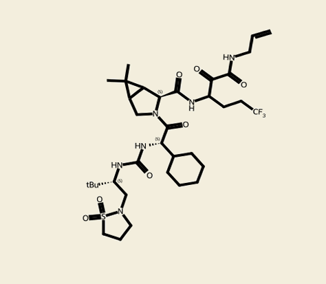 C=CCNC(=O)C(=O)C(CCC(F)(F)F)NC(=O)[C@@H]1C2C(CN1C(=O)[C@@H](NC(=O)N[C@H](CN1CCCS1(=O)=O)C(C)(C)C)C1CCCCC1)C2(C)C